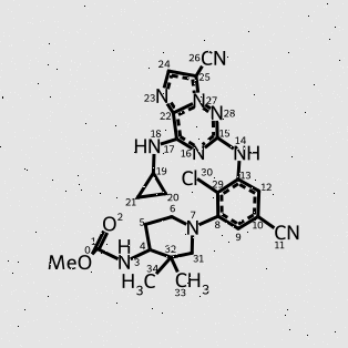 COC(=O)NC1CCN(c2cc(C#N)cc(Nc3nc(NC4CC4)c4ncc(C#N)n4n3)c2Cl)CC1(C)C